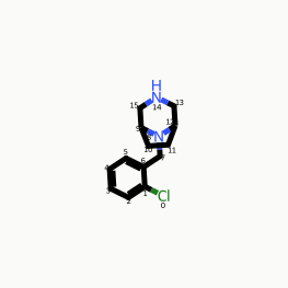 Clc1ccccc1CN1C2CCC1CNC2